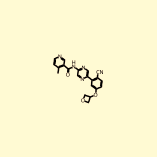 Cc1ccncc1C(=O)Nc1cnc(-c2cc(OC3COC3)ccc2C#N)cn1